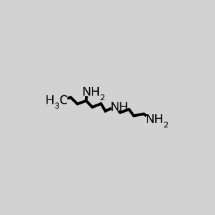 CCCC(N)CCCNCCCCN